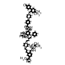 Cc1ncsc1-c1ccc(CNC(=O)OC(C)(C)C)c(CCCN2CCN(CC[C@H](CSc3ccccc3)Nc3ccc(S(=O)(=O)NC(=O)c4ccc(N5CCN(CC6=C(c7ccc(Cl)cc7)CCC(C)(C)C6)CC5)cc4)cc3S(=O)(=O)C(F)(F)F)CC2)c1